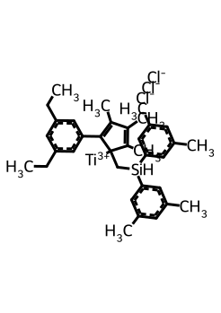 CCc1cc(CC)cc(C2=C(C)C(C)=C(C)[C]2([Ti+3])C[SiH](c2cc(C)cc(C)c2)c2cc(C)cc(C)c2)c1.[Cl-].[Cl-].[Cl-]